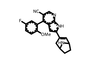 COc1ccc(F)cc1-c1c(C#N)cnc2[nH]c(C3=CC4CCC(C3)N4)cc12